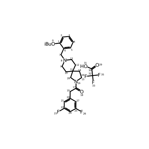 CC(C)COc1ccccc1CN1CCC2(CC1)CCN(C(=O)Cc1cc(F)cc(F)c1)C2.O=C(O)C(F)(F)F